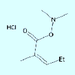 CCC=C(C)C(=O)ON(C)C.Cl